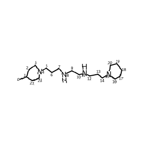 CC1CCN(CCCNCCNCCCN2CCCCC2)CC1